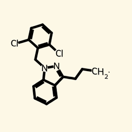 [CH2]CCc1nn(Cc2c(Cl)cccc2Cl)c2ccccc12